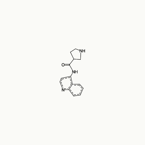 O=C(Nc1ccnc2ccccc12)C1CCNC1